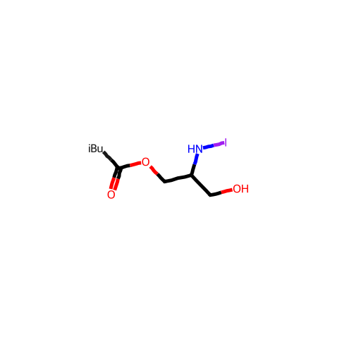 CCC(C)C(=O)OCC(CO)NI